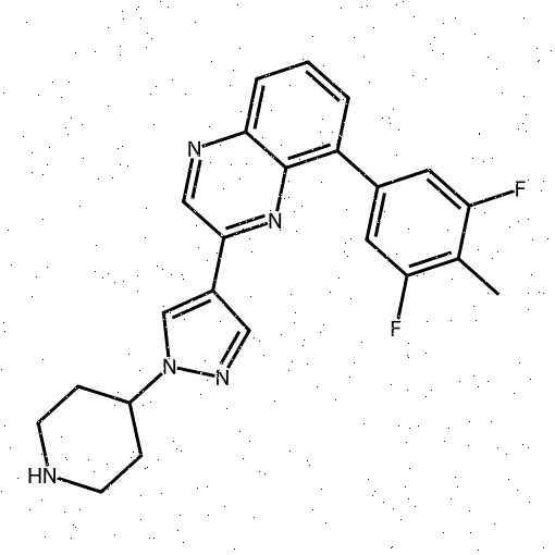 Cc1c(F)cc(-c2cccc3ncc(-c4cnn(C5CCNCC5)c4)nc23)cc1F